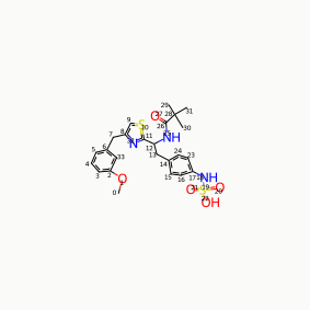 COc1cccc(Cc2csc(C(Cc3ccc(NS(=O)(=O)O)cc3)NC(=O)C(C)(C)C)n2)c1